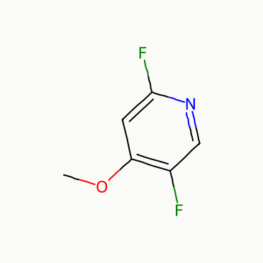 COc1cc(F)ncc1F